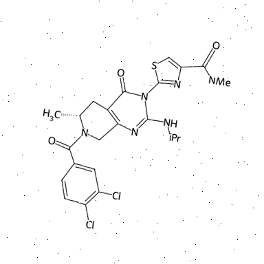 CNC(=O)c1csc(-n2c(NC(C)C)nc3c(c2=O)C[C@@H](C)N(C(=O)c2ccc(Cl)c(Cl)c2)C3)n1